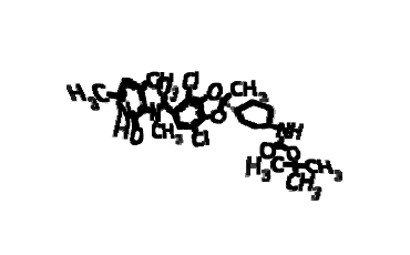 Cc1cc(C)c(N(C)C(=O)c2cc(Cl)c3c(c2Cl)OC(C)([C@H]2CC[C@H](NC(=O)OC(C)(C)C)CC2)O3)c(=O)[nH]1